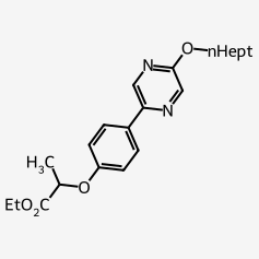 CCCCCCCOc1cnc(-c2ccc(OC(C)C(=O)OCC)cc2)cn1